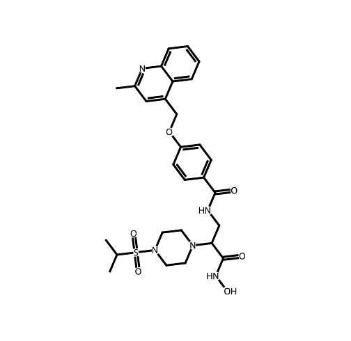 Cc1cc(COc2ccc(C(=O)NCC(C(=O)NO)N3CCN(S(=O)(=O)C(C)C)CC3)cc2)c2ccccc2n1